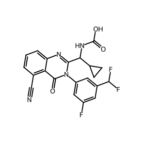 N#Cc1cccc2nc(C(NC(=O)O)C3CC3)n(-c3cc(F)cc(C(F)F)c3)c(=O)c12